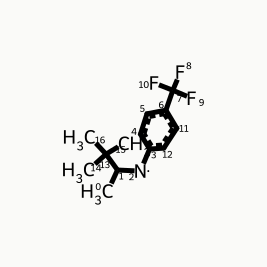 CC([N]c1ccc(C(F)(F)F)cc1)C(C)(C)C